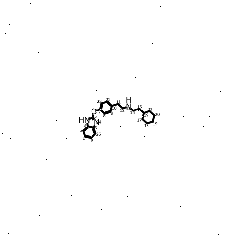 c1ccc2[nH]c(Oc3ccc(CCNCCC4CCCCC4)cc3)nc2c1